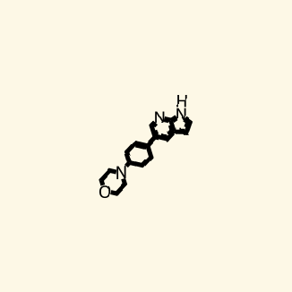 C1=C(c2cnc3[nH]ccc3c2)CCC(N2CCOCC2)C1